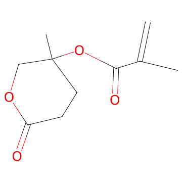 C=C(C)C(=O)OC1(C)CCC(=O)OC1